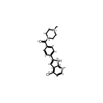 CN1CCN(C(=O)c2ccc(-c3cc4c(Cl)ccnc4[nH]3)cc2)CC1